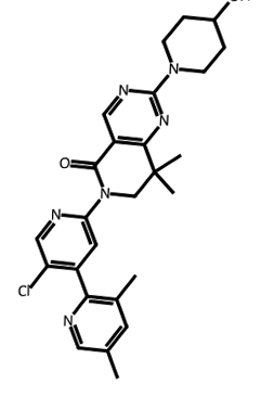 Cc1cnc(-c2cc(N3CC(C)(C)c4nc(N5CCC(O)CC5)ncc4C3=O)ncc2Cl)c(C)c1